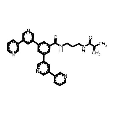 C=C(C)C(=O)NCCCNC(=O)c1cc(-c2cncc(-c3cccnc3)c2)cc(-c2cncc(-c3cccnc3)c2)c1